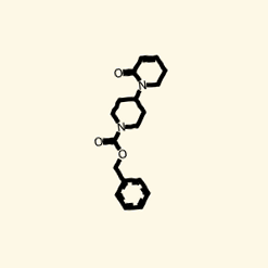 O=C(OCc1ccccc1)N1CCC(N2CCC=CC2=O)CC1